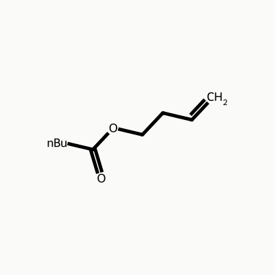 C=CCCOC(=O)CCCC